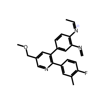 C=Nc1cc(-c2cc(COC)cnc2-c2ccc(F)c(C)c2)ccc1/N=C\C